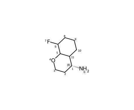 N[C@@H]1CCOC2C(F)CCCC21